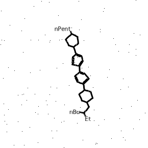 CCCCCC1CCC(c2ccc(-c3ccc(C4CCC(CC(CC)CCCC)CC4)cc3)cc2)CC1